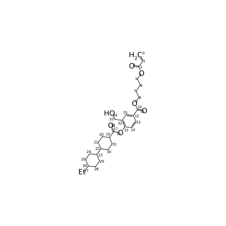 C=CC(=O)OCCCCOC(=O)c1ccc(OC(=O)C2CCC(C3CCC(CC)CC3)CC2)c(CO)c1